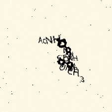 COc1ccc(C(F)(F)F)cc1-c1cc(C)ncc1C(=O)Nc1nc2ccc(-c3ccc(NC(C)=O)cc3)nc2s1